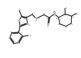 Cc1oc(-c2ccccc2F)nc1CSCC(=O)NC1CCCC(C)C1C